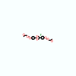 Fc1cc(OCOCC2CO2)ccc1C1COC(c2ccc(OCOCC3CO3)cc2)OC1